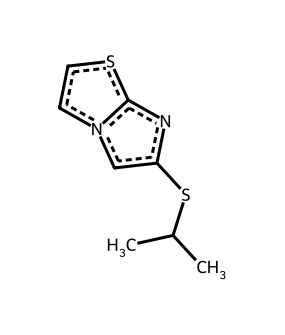 CC(C)Sc1cn2ccsc2n1